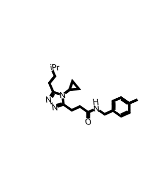 Cc1ccc(CNC(=O)CCc2nnc(CCC(C)C)n2C2CC2)cc1